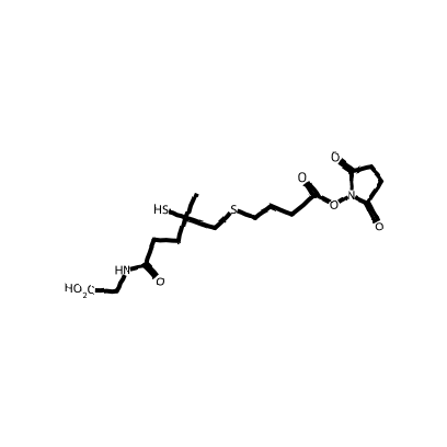 CC(S)(CCC(=O)NCC(=O)O)CSCCCC(=O)ON1C(=O)CCC1=O